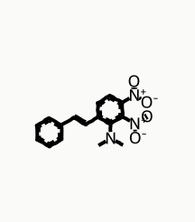 CN(C)c1c(C=Cc2ccccc2)ccc([N+](=O)[O-])c1[N+](=O)[O-]